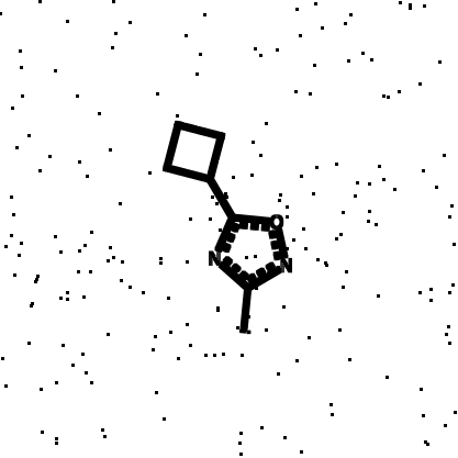 [CH2]c1noc(C2CCC2)n1